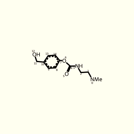 CNCCNC(=O)Oc1ccc(CO)cc1